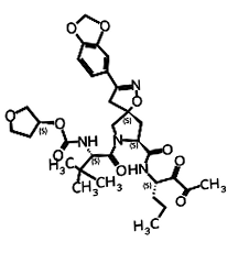 CCC[C@H](NC(=O)[C@@H]1C[C@]2(CC(c3ccc4c(c3)OCO4)=NO2)CN1C(=O)[C@@H](NC(=O)O[C@H]1CCOC1)C(C)(C)C)C(=O)C(C)=O